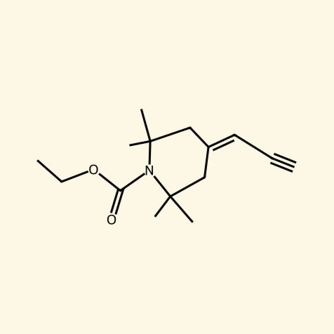 C#CC=C1CC(C)(C)N(C(=O)OCC)C(C)(C)C1